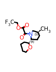 C[C@H]1CC[C@H](C2CCCCO2)N(C(=O)C(=O)OCC(F)(F)F)C1